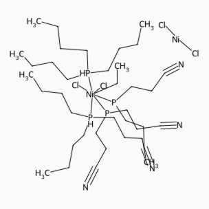 CCCC[PH](CCCC)(CCCC)[Ni]([Cl])([Cl])([CH2]C)([P](CCC#N)CCC#N)([P](CCC#N)CCC#N)[PH](CCCC)(CCCC)CCCC.[Cl][Ni][Cl]